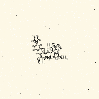 COc1nc2ccc(C(O)(c3sc(C)cc3C)c3cnnn3C)cc2c(Cl)c1Cc1ccc(-n2cccc2)cc1